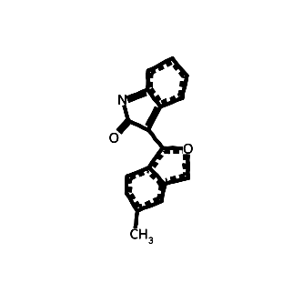 Cc1ccc2c(C3=c4ccccc4=NC3=O)occ2c1